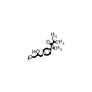 CC(C)C(=O)N(C)N1CCN(CC(O)COI)CC1